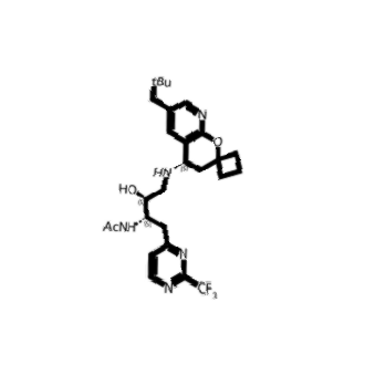 CC(=O)N[C@@H](Cc1ccnc(C(F)(F)F)n1)[C@@H](O)CN[C@H]1CC2(CCC2)Oc2ncc(CC(C)(C)C)cc21